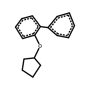 c1ccc(-c2ccccc2OC2CCCC2)cc1